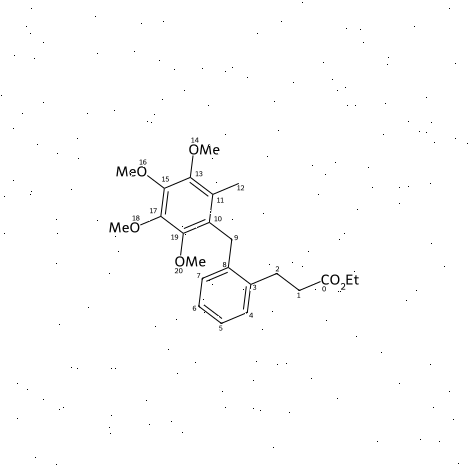 CCOC(=O)CCc1ccccc1Cc1c(C)c(OC)c(OC)c(OC)c1OC